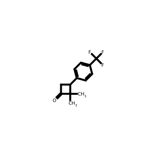 CC1(C)C(=O)CC1c1ccc(C(F)(F)F)cc1